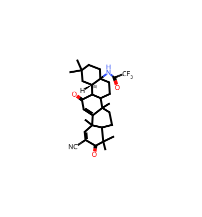 CC1(C)CCC2(NC(=O)C(F)(F)F)CCC3C(C(=O)C=C4C5(C)C=C(C#N)C(=O)C(C)(C)C5CCC43C)[C@@H]2C1